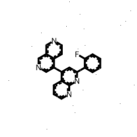 Fc1ccccc1-c1cc(-c2cncc3cnccc23)c2cccnc2n1